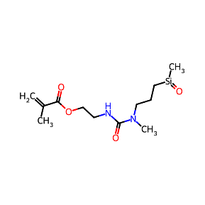 C=C(C)C(=O)OCCNC(=O)N(C)CCC[Si](C)=O